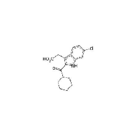 O=C(O)Cc1c(C(=O)C2CCCCC2)[nH]c2cc(Cl)ccc12